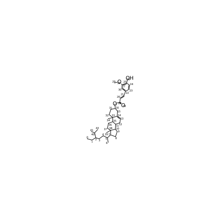 CCC(CCC(C)C1CCC2C3CC=C4CC(OC(=O)/C=C/c5ccc(O)c(OC)c5)CCC4(C)C3CCC12C)C(C)C